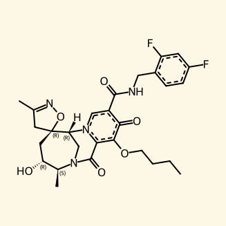 CCCCOc1c2n(cc(C(=O)NCc3ccc(F)cc3F)c1=O)[C@@H]1CN(C2=O)[C@@H](C)[C@H](O)C[C@]12CC(C)=NO2